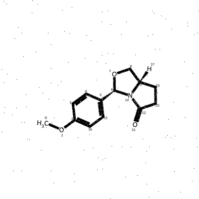 COc1ccc([C@H]2OC[C@@H]3CCC(=O)N32)cc1